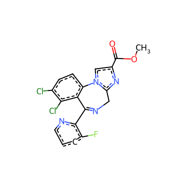 COC(=O)c1cn2c(n1)CN=C(c1ncccc1F)c1c-2ccc(Cl)c1Cl